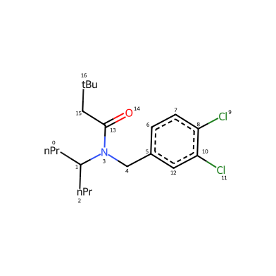 CCCC(CCC)N(Cc1ccc(Cl)c(Cl)c1)C(=O)CC(C)(C)C